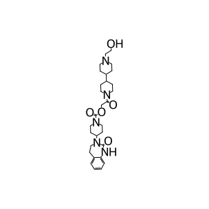 O=C(COC(=O)N1CCC(N2CCc3ccccc3NC2=O)CC1)N1CCC(C2CCN(CCO)CC2)CC1